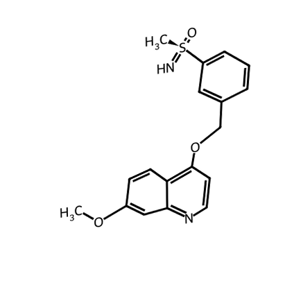 COc1ccc2c(OCc3cccc([S@](C)(=N)=O)c3)ccnc2c1